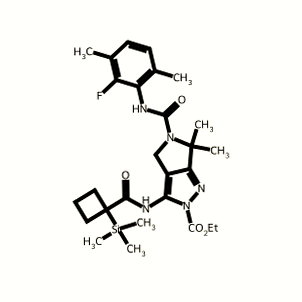 CCOC(=O)n1nc2c(c1NC(=O)C1([Si](C)(C)C)CCC1)CN(C(=O)Nc1c(C)ccc(C)c1F)C2(C)C